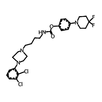 O=C(NCCCCN1CCN(c2cccc(Cl)c2Cl)CC1)Oc1ccc(N2CCC(F)(F)CC2)cc1